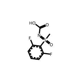 CS(=O)(=NC(=O)O)c1c(F)cccc1F